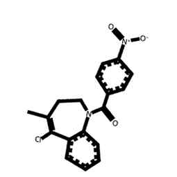 CC1=C(Cl)c2ccccc2N(C(=O)c2ccc([N+](=O)[O-])cc2)CC1